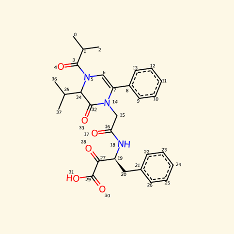 CC(C)C(=O)N1C=C(c2ccccc2)N(CC(=O)N[C@@H](Cc2ccccc2)C(=O)C(=O)O)C(=O)C1C(C)C